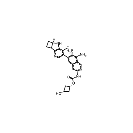 Cc1c(-c2cc3cc(NC(=O)O[C@H]4C[C@@H](O)C4)ncc3c(N)c2F)cnc2c1N[C@H]1CCC21